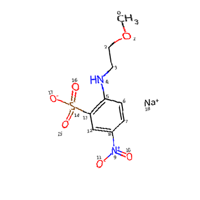 COCCNc1ccc([N+](=O)[O-])cc1S(=O)(=O)[O-].[Na+]